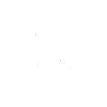 CO[n+]1cc(F)cc(C2(C#N)CC2)c1